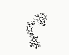 O=C(O)Nc1cc(CCCNC(=O)C2CCC(CNC[C@H](O)c3ccc(O)c4[nH]c(=O)ccc34)CC2)ccc1-c1ccccc1